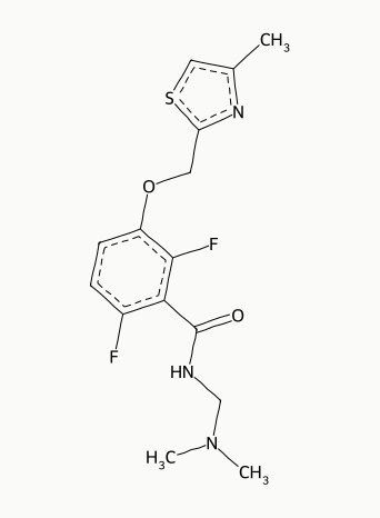 Cc1csc(COc2ccc(F)c(C(=O)NCN(C)C)c2F)n1